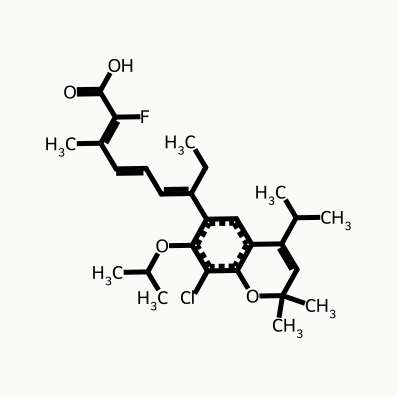 CCC(=CC=CC(C)=C(F)C(=O)O)c1cc2c(c(Cl)c1OC(C)C)OC(C)(C)C=C2C(C)C